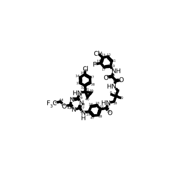 CC(C)(CNC(=O)C(=O)Nc1ccc(Cl)c(F)c1)CNC(=O)c1ccc(Nc2nc(NC3(c4ccc(Cl)cc4)CC3)nc(OCC(F)(F)F)n2)cc1